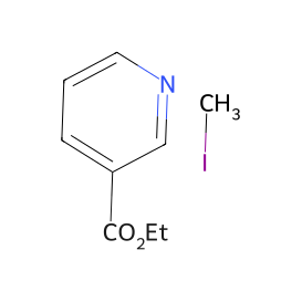 CCOC(=O)c1cccnc1.CI